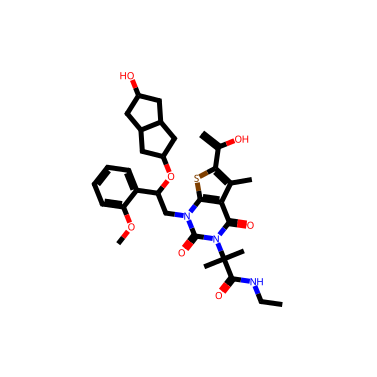 C=C(O)c1sc2c(c1C)c(=O)n(C(C)(C)C(=O)NCC)c(=O)n2CC(OC1CC2CC(O)CC2C1)c1ccccc1OC